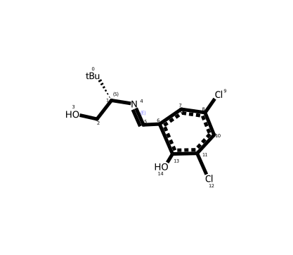 CC(C)(C)[C@@H](CO)/N=C/c1cc(Cl)cc(Cl)c1O